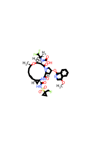 COc1cnc(O[C@@H]2C[C@H]3C(=O)N[C@]4(C(=O)NS(=O)(=O)C5(CF)CC5)C[C@H]4/C=C\CC[C@@H](C)O[C@@H](C)[C@H](N(C(=O)O)C(C)(C)C(F)F)C(=O)N3C2)c2ccccc12